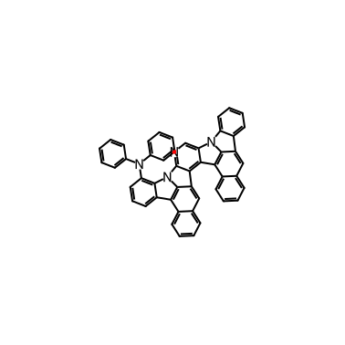 c1ccc(N(c2ccccc2)c2cccc3c4c5ccccc5cc5c6c7c8c9ccccc9cc9c%10ccccc%10n(c7cnc6n(c23)c54)c98)cc1